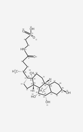 C[C@H](CCC(=O)NCCS(=O)(=O)O)[C@H]1CC[C@H]2C3[C@@H](O)[C@@H](O)C4C[C@H](O)CC[C@]4(C)[C@H]3CC[C@]12C